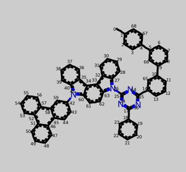 Cc1ccc(-c2cccc(-c3cccc(-c4nc(-c5ccccc5)nc(-n5c6ccccc6c6c7c8ccccc8n(-c8ccc9c%10ccccc%10c%10ccccc%10c9c8)c7ccc65)n4)c3)c2)cc1